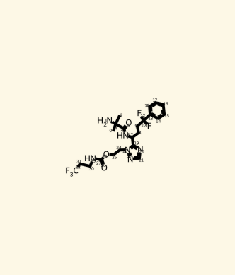 CC(C)(N)C(=O)NC(CCC(F)(F)c1ccccc1)c1ncnn1CCOC(=O)NCCC(F)(F)F